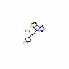 O[C@H](C[C@H]1c2sccc2-c2cncn21)C1CC(F)(F)C1